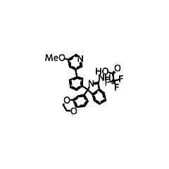 COc1cncc(-c2cccc(C3(c4ccc5c(c4)OCCO5)N=C(N)c4ccccc43)c2)c1.O=C(O)C(F)(F)F